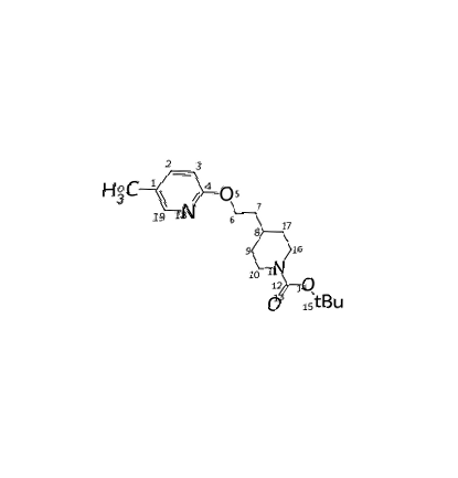 Cc1ccc(OCCC2CCN(C(=O)OC(C)(C)C)CC2)nc1